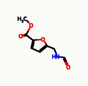 COC(=O)c1ccc(CNC=O)o1